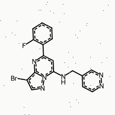 Fc1ccccc1-c1cc(NCc2ccnnc2)n2ncc(Br)c2n1